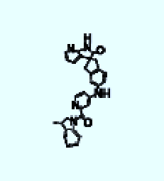 CC1CN(C(=O)c2cc(Nc3ccc4c(c3)CC3(C4)C(=O)Nc4ncccc43)ccn2)c2ccccc21